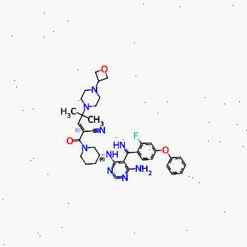 CC(C)(/C=C(\C#N)C(=O)N1CCC[C@@H](Nc2ncnc(N)c2C(=N)c2ccc(Oc3ccccc3)cc2F)C1)N1CCN(C2COC2)CC1